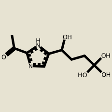 CC(=O)c1ncc(C(O)CCC(O)(O)O)[nH]1